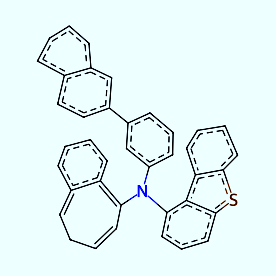 C1=CC(N(c2cccc(-c3ccc4ccccc4c3)c2)c2cccc3sc4ccccc4c23)=c2ccccc2=CC1